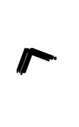 O.O.O.O.O.O.O.O.O.O.O.O.O.O.O.O.O.O.O.O.O.O.O.O.O.O.O.O.O.O.O.O.O.O.O.O.[Fe]